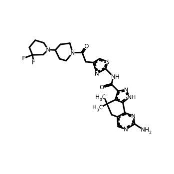 CC1(C)Cc2cnc(N)nc2-c2[nH]nc(C(=O)Nc3nc(CC(=O)N4CCC(N5CCCC(F)(F)C5)CC4)cs3)c21